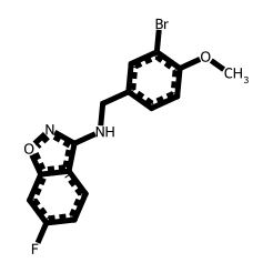 COc1ccc(CNc2noc3cc(F)ccc23)cc1Br